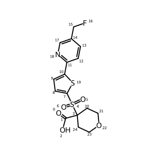 O=C(O)C1(S(=O)(=O)c2ccc(-c3ccc(CF)cn3)s2)CCOCC1